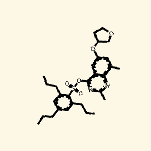 CCCc1cc(CCC)c(S(=O)(=O)Oc2nc(C)nc3c(C)cc(O[C@H]4CCOC4)cc23)c(CCC)c1